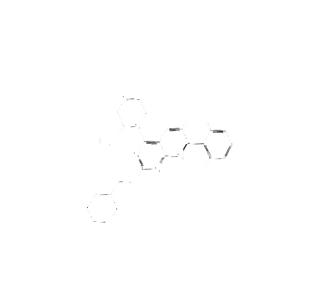 CC1CNCCN1c1nc(OCC2CCCOC2)nc2nc(-c3c(O)cccc3F)c(F)cc12